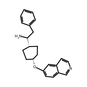 NC(Cc1ccccc1)[C@H]1CC[C@@H](Oc2ccc3cnccc3c2)CC1